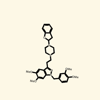 COc1ccc(Cn2nc(CCN3CCN(C4Cc5ccccc5O4)CC3)c3cc(OC)c(OC)cc32)cc1OC